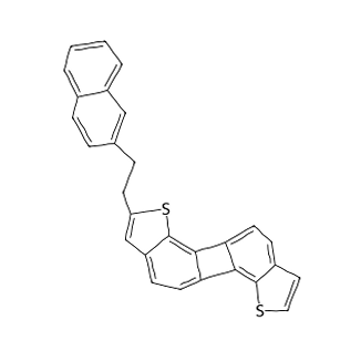 c1ccc2cc(CCc3cc4ccc5c(c4s3)-c3ccc4ccsc4c3-5)ccc2c1